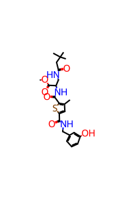 COC(=O)C(CNC(=O)CC(C)(C)C)NC(=O)c1sc(C(=O)NCc2cccc(O)c2)cc1C